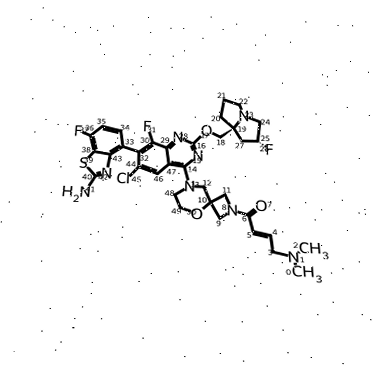 CN(C)C/C=C/C(=O)N1CC2(C1)CN(c1nc(OC[C@@]34CCCN3C[C@H](F)C4)nc3c(F)c(-c4ccc(F)c5sc(N)nc45)c(Cl)cc13)CCO2